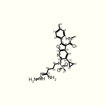 CNC(=O)c1c(-c2ccc(C)cc2)oc2nc(N(CCC/C(N)=N/NN)S(C)(=O)=O)c(C3CC3)cc12